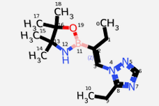 CC/C(=C\n1ncnc1CC)B1NC(C)(C)C(C)(C)O1